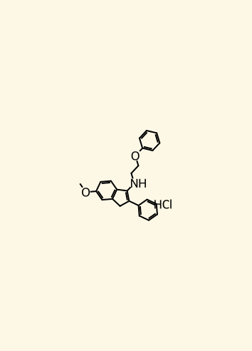 COc1ccc2c(c1)CC(c1ccccc1)=C2NCCOc1ccccc1.Cl